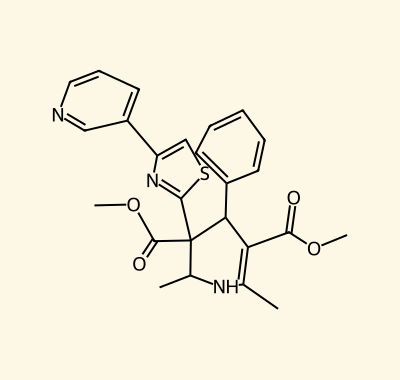 COC(=O)C1=C(C)NC(C)C(C(=O)OC)(c2nc(-c3cccnc3)cs2)C1c1ccccc1